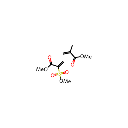 C=C(C(=O)OC)S(=O)(=O)OC.C=C(C)C(=O)OC